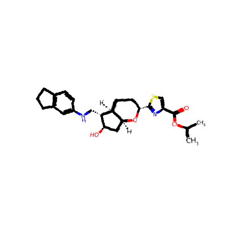 CC(C)OC(=O)c1csc([C@H]2CC[C@@H]3[C@@H](CNc4ccc5c(c4)CCC5)[C@H](O)C[C@@H]3O2)n1